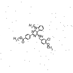 COC(=O)c1ccc(-c2nc(NCc3ccc(OC)c(Cl)c3)c3c4ccccc4n(C)c3n2)cc1